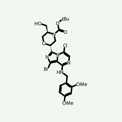 COc1ccc(CNc2ncc(Cl)n3c([C@H]4CN(C(=O)OC(C)(C)C)[C@H](CO)CO4)nc(Br)c23)c(OC)c1